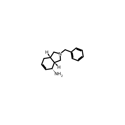 N[C@@H]1C=CC[C@@H]2CN(Cc3ccccc3)C[C@@H]21